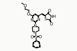 COCCOc1cc(/C=C2\SC(=O)NC2=O)nc(N2CCN(S(=O)(=O)c3ccccc3)CC2)n1